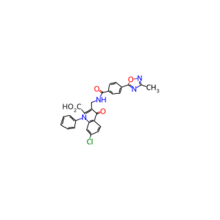 Cc1noc(-c2ccc(C(=O)NCc3c(C(=O)O)n(-c4ccccc4)c4cc(Cl)ccc4c3=O)cc2)n1